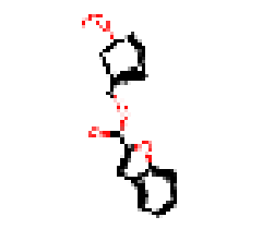 O=C(OCc1cccc(O)c1)c1cc2ccccc2o1